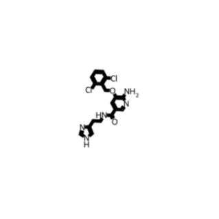 Nc1ncc(C(=O)NCCc2c[nH]cn2)cc1OCc1c(Cl)cccc1Cl